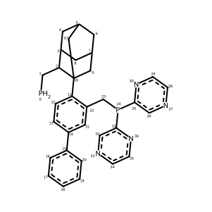 PCC1C2CC3CC(C2)CC1(c1ccc(-c2ccccc2)cc1CP(c1cnccn1)c1cnccn1)C3